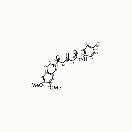 COc1cc2c(cc1OC)CN(C(=O)CNCC(=O)Nc1ccc(Cl)cc1)CC2